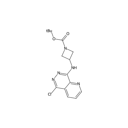 CC(C)(C)OC(=O)N1CC(Nc2nnc(Cl)c3cccnc23)C1